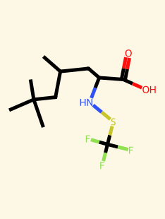 CC(CC(NSC(F)(F)F)C(=O)O)CC(C)(C)C